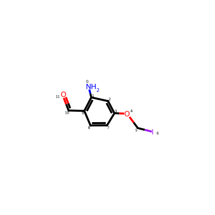 Nc1cc(OCI)ccc1C=O